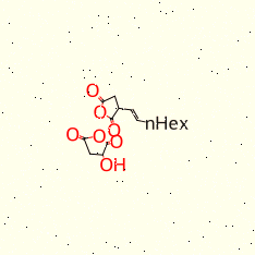 CCCCCCC=CC1CC(=O)OC1=O.O=C1CC(O)C(=O)O1